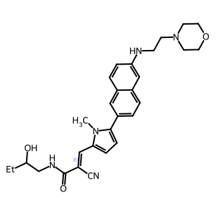 CCC(O)CNC(=O)/C(C#N)=C/c1ccc(-c2ccc3cc(NCCN4CCOCC4)ccc3c2)n1C